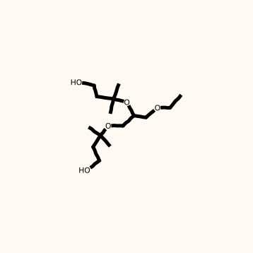 CCOCC(COC(C)(C)CCO)OC(C)(C)CCO